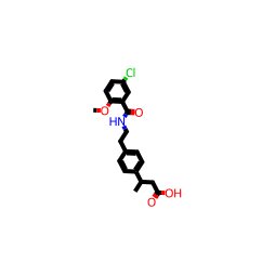 COc1ccc(Cl)cc1C(=O)NCCc1ccc(C(C)CC(=O)O)cc1